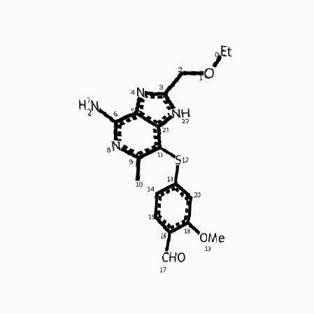 CCOCc1nc2c(N)nc(C)c(Sc3ccc(C=O)c(OC)c3)c2[nH]1